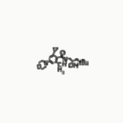 Cc1cc(N2CCOCC2)cc(C2CC2)c1C(=O)NCC(O)CC(C)(C)C